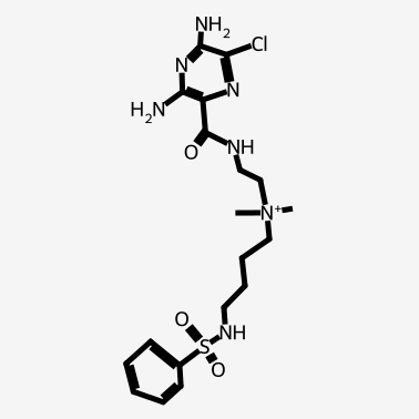 C[N+](C)(CCCCNS(=O)(=O)c1ccccc1)CCNC(=O)c1nc(Cl)c(N)nc1N